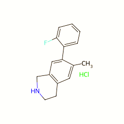 Cc1cc2c(cc1-c1ccccc1F)CNCC2.Cl